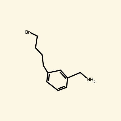 NCc1cccc(CCCCBr)c1